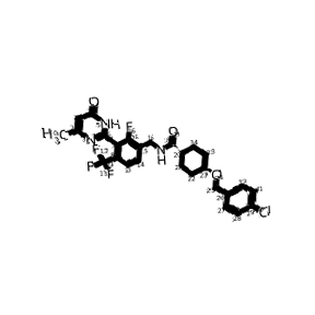 Cc1cc(=O)[nH]c(-c2c(C(F)(F)F)ccc(CNC(=O)[C@H]3CC[C@H](OCc4ccc(Cl)cc4)CC3)c2F)n1